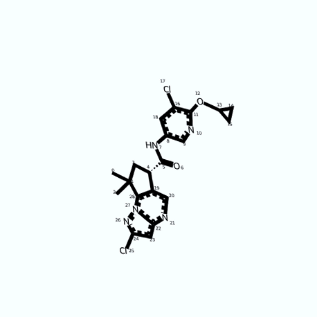 CC1(C)C[C@H](C(=O)Nc2cnc(OC3CC3)c(Cl)c2)c2cnc3cc(Cl)nn3c21